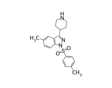 Cc1ccc(S(=O)(=O)n2nc(C3CCNCC3)c3cc(C)ccc32)cc1